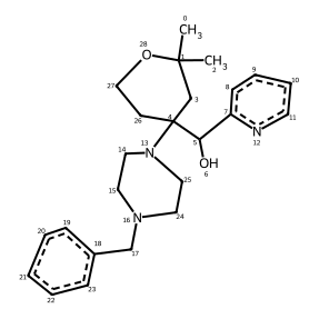 CC1(C)CC(C(O)c2ccccn2)(N2CCN(Cc3ccccc3)CC2)CCO1